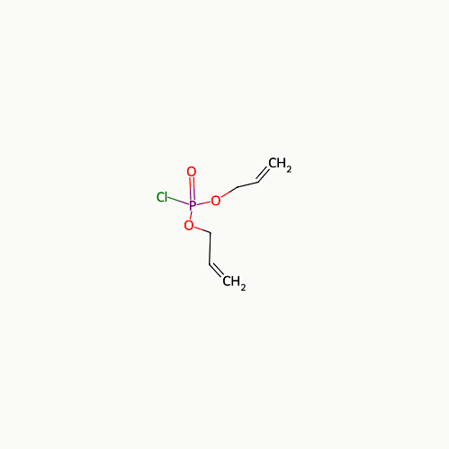 C=CCOP(=O)(Cl)OCC=C